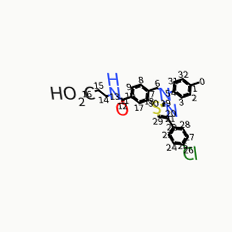 Cc1ccc(N(Cc2ccc(C(=O)NCCC(=O)O)cc2)c2nc(-c3ccc(Cl)cc3)cs2)cc1